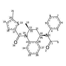 CC(=O)N(c1ccccc1)[C@@H]1C[C@H](C)N(C(=O)c2ccc(C)s2)c2ccccc21